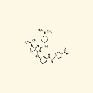 CC(C)n1cnc2c(Nc3cccc(NC(=O)c4ccc([N+](=O)[O-])cc4)c3)nc(NC3CCC(N(C)C)CC3)nc21